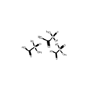 O=C(O)P(=O)(O)O.O=C(O)P(=O)(O)O.O=C(O)P(=O)(O)O